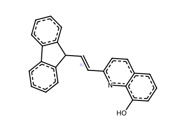 Oc1cccc2ccc(/C=C/C3c4ccccc4-c4ccccc43)nc12